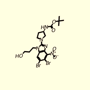 CC(C)(C)OC(=O)N[C@@H]1CCN(c2nc3c([N+](=O)[O-])c(Br)c(Br)cc3n2CCCO)C1